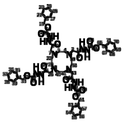 O=C(CN1CCN(CC(=O)NNC(=O)OCc2ccccc2)CCN(CC(=O)NNC(=O)OCc2ccccc2)CCN(CC(=O)NNC(=O)OCc2ccccc2)CC1)NNC(=O)OCc1ccccc1